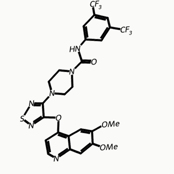 COc1cc2nccc(Oc3nsnc3N3CCN(C(=O)Nc4cc(C(F)(F)F)cc(C(F)(F)F)c4)CC3)c2cc1OC